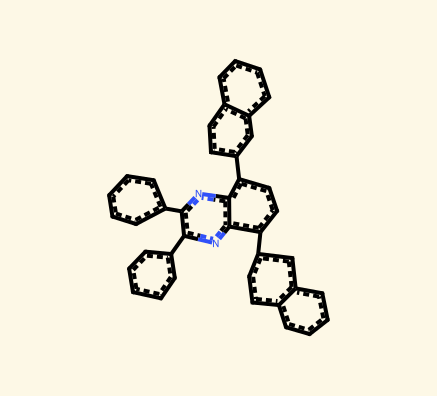 c1ccc(-c2nc3c(-c4ccc5ccccc5c4)ccc(-c4ccc5ccccc5c4)c3nc2-c2ccccc2)cc1